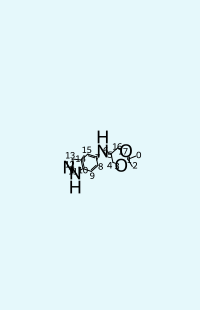 CC1(C)OCC(Nc2ccc3[nH]ncc3c2)CO1